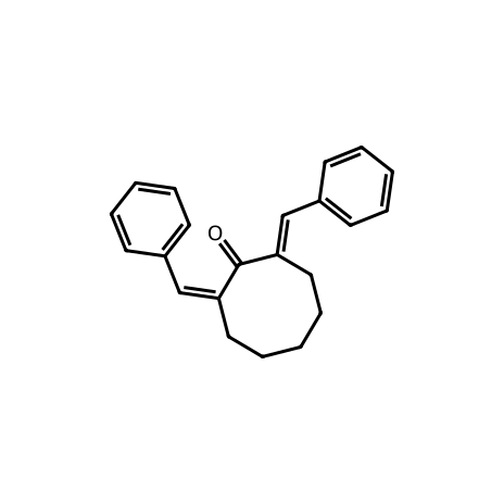 O=C1C(=Cc2ccccc2)CCCCCC1=Cc1ccccc1